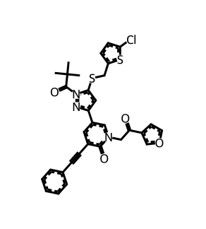 CC(C)(C)C(=O)n1nc(-c2cc(C#Cc3ccccc3)c(=O)n(CC(=O)c3ccoc3)c2)cc1SCc1ccc(Cl)s1